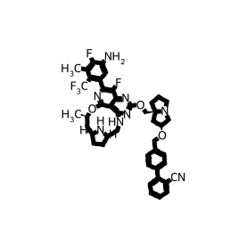 Cc1c(F)c(N)cc(-c2nc3c4c(nc(OC[C@@]56CCCN5C[C@H](OCc5ccc(-c7ccccc7C#N)cc5)C6)nc4c2F)NC[C@H]2CC[C@@H](C[C@H](C)O3)N2)c1C(F)(F)F